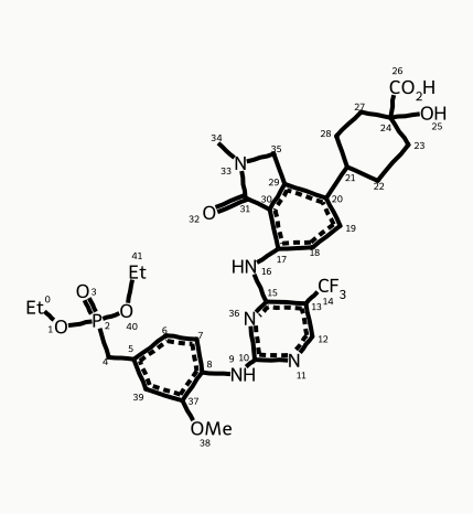 CCOP(=O)(Cc1ccc(Nc2ncc(C(F)(F)F)c(Nc3ccc(C4CCC(O)(C(=O)O)CC4)c4c3C(=O)N(C)C4)n2)c(OC)c1)OCC